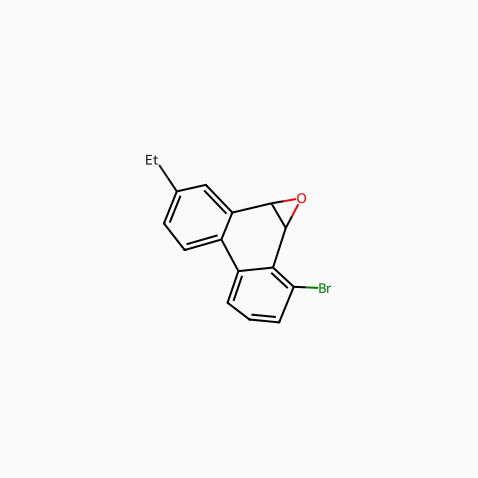 CCc1ccc2c(c1)C1OC1c1c(Br)cccc1-2